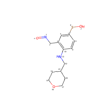 O=NCc1cc(SO)ccc1NCC1CCOCC1